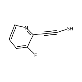 Fc1cccnc1C#CS